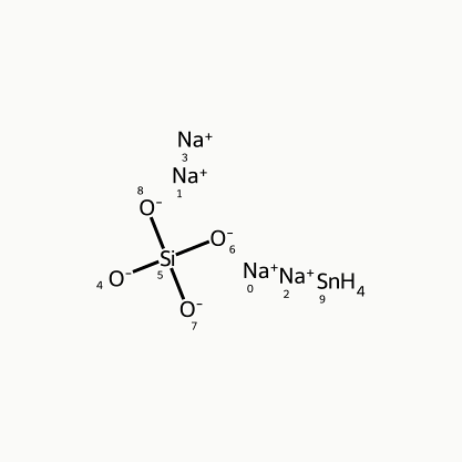 [Na+].[Na+].[Na+].[Na+].[O-][Si]([O-])([O-])[O-].[SnH4]